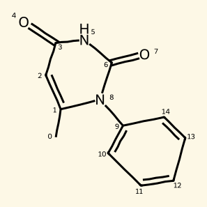 Cc1cc(=O)[nH]c(=O)n1-c1ccccc1